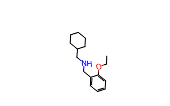 CCOc1ccccc1CNCC1CCCCC1